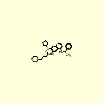 C[C@@H](Nc1ncnc2cc(OC3CCCC3)c(NC(=O)C=CCN3CCOCC3)cc12)c1ccccc1